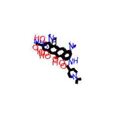 CC(C)N1CCC(C(=O)Nc2cc(N(C)C)c3c(c2O)C(=O)C2=C(O)[C@]4(O)C(=O)C(C(N)=O)=C(O)[C@@H](N(C)C)[C@@H]4CC2C3)CC1